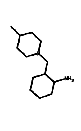 CC1CCN(CC2CCCCC2N)CC1